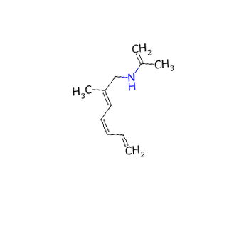 C=C/C=C\C=C(/C)CNC(=C)C